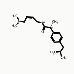 CC(C)Cc1ccc([C@@H](C)C(=O)NC/C=C\CN(C)C)cc1